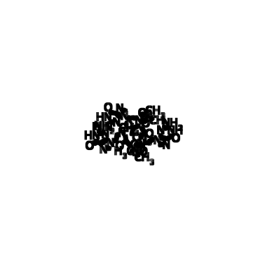 CCC1CN(P(=O)(OCC2CN(P(=O)(OCC3CN(C)CC(n4cnc5c(=O)[nH]c(N)nc54)O3)N(C)C)CC(n3cnc4c(=O)[nH]c(N)nc43)O2)N(C)C)CC(n2cnc3c(=O)[nH]c(N)nc32)O1